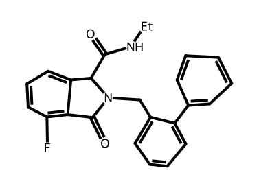 CCNC(=O)C1c2cccc(F)c2C(=O)N1Cc1ccccc1-c1ccccc1